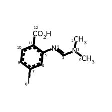 CN(C)/C=N/c1cc(I)ccc1C(=O)O